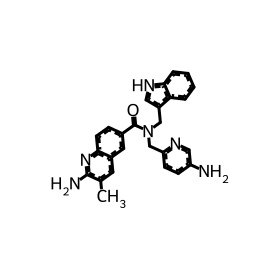 Cc1cc2cc(C(=O)N(Cc3ccc(N)cn3)Cc3c[nH]c4ccccc34)ccc2nc1N